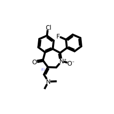 CN(C)/C=C1\C[N+]([O-])=C(c2ccccc2F)c2cc(Cl)ccc2C1=O